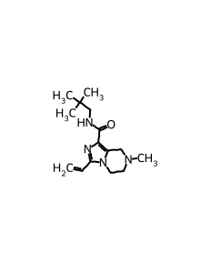 C=Cc1nc(C(=O)NCC(C)(C)C)c2n1CCN(C)C2